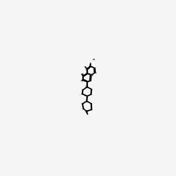 COc1ccc2cc(C3CCC(C4CCC(C)CC4)CC3)c(F)c(F)c2c1F